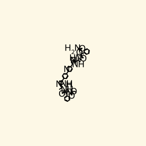 COC(=O)N[C@@H](C(=O)NC(C)c1ncc(-c2ccc(-c3ccc(-c4cnc(C(C)NC(=O)[C@H](OC(N)=O)c5ccccc5)[nH]4)cn3)cc2)[nH]1)c1ccccc1